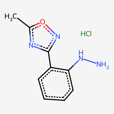 Cc1nc(-c2ccccc2NN)no1.Cl